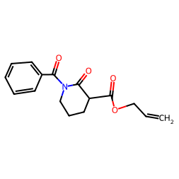 C=CCOC(=O)C1CCCN(C(=O)c2ccccc2)C1=O